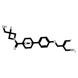 NCC(=CF)COc1ccc(C23CCC(C(=O)N4CC(F)(CO)C4)(CC2)CC3)cc1